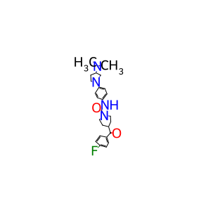 CN(C)C1CCN(c2ccc(NC(=O)N3CCC(C(=O)c4ccc(F)cc4)CC3)cc2)C1